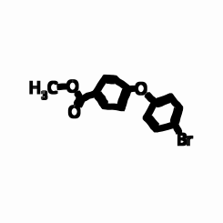 COC(=O)c1ccc(Oc2ccc(Br)cc2)cc1